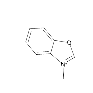 C[n+]1coc2ccccc21